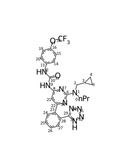 CCCN(CC1CC1)c1nc(NC(=O)Nc2ccc(OC(F)(F)F)cc2)cc(-c2ccccc2-c2nnn[nH]2)n1